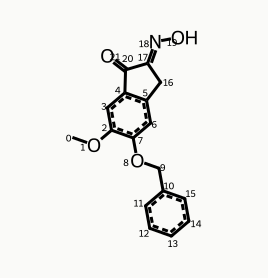 COc1cc2c(cc1OCc1ccccc1)CC(=NO)C2=O